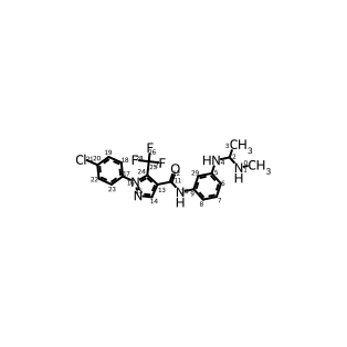 CNC(C)Nc1cccc(NC(=O)c2cnn(-c3ccc(Cl)cc3)c2C(F)(F)F)c1